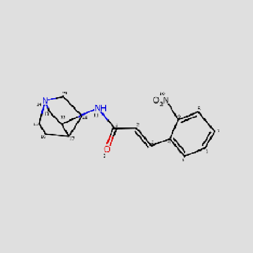 O=C(C=Cc1ccccc1[N+](=O)[O-])NC1CN2CCC1CC2